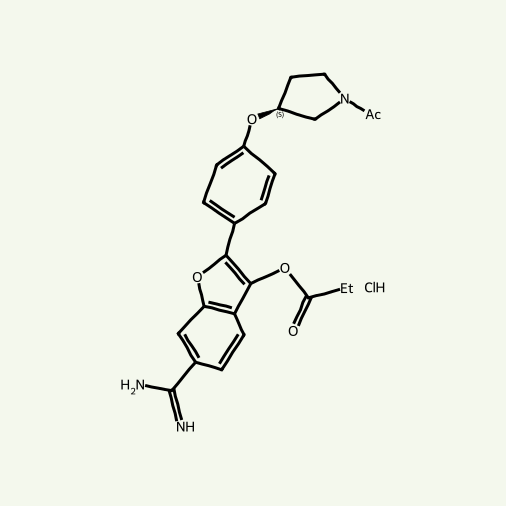 CCC(=O)Oc1c(-c2ccc(O[C@H]3CCN(C(C)=O)C3)cc2)oc2cc(C(=N)N)ccc12.Cl